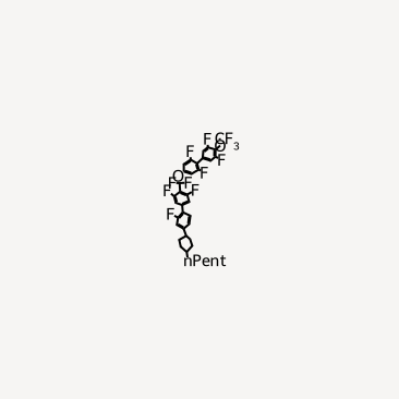 CCCCCC1CCC(c2ccc(-c3cc(F)c(C(F)(F)Oc4cc(F)c(-c5cc(F)c(OC(F)(F)F)c(F)c5)c(F)c4)c(F)c3)c(F)c2)CC1